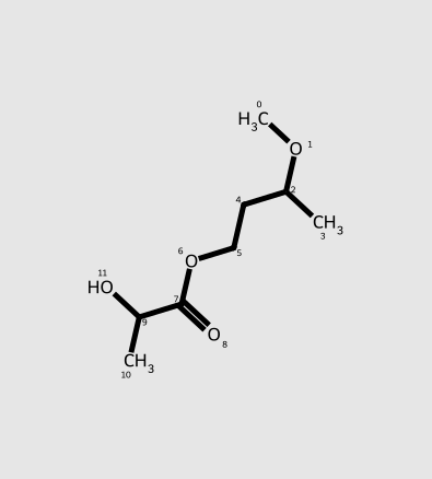 COC(C)CCOC(=O)C(C)O